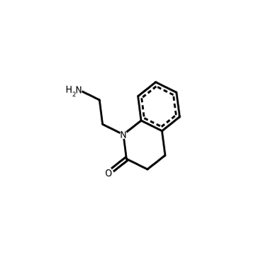 NCCN1C(=O)CCc2ccccc21